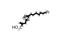 C=C(Cc1nc(CCCCCCC(C)C)no1)C(=O)O